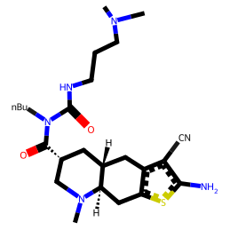 CCCCN(C(=O)NCCCN(C)C)C(=O)[C@@H]1C[C@@H]2Cc3c(sc(N)c3C#N)C[C@H]2N(C)C1